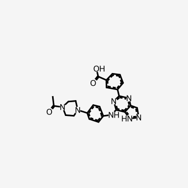 CC(=O)N1CCN(c2ccc(Nc3nc(-c4cccc(C(=O)O)c4)nc4cn[nH]c34)cc2)CC1